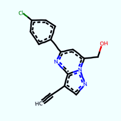 C#Cc1cnn2c(CO)cc(-c3ccc(Cl)cc3)nc12